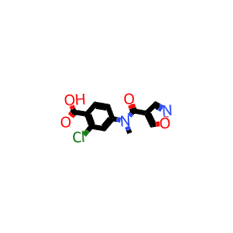 CN(C(=O)c1cnoc1)c1ccc(C(=O)O)c(Cl)c1